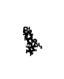 CSc1ncc2c(n1)CN(C1(C)CC(F)(F)C1)C2=O